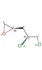 ClC[C@@H](Cl)C[C@@H]1CO1